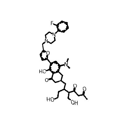 CC(=O)CC(=O)C(CO)C(CCO)CC1CC(=O)c2c(O)c(-c3ccc(CN4CCN(c5ccccc5F)CC4)o3)cc(N(C)C)c2C1